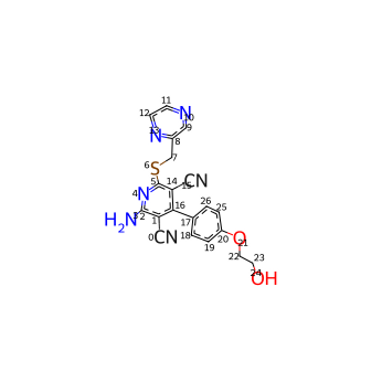 N#Cc1c(N)nc(SCc2cnccn2)c(C#N)c1-c1ccc(OCCO)cc1